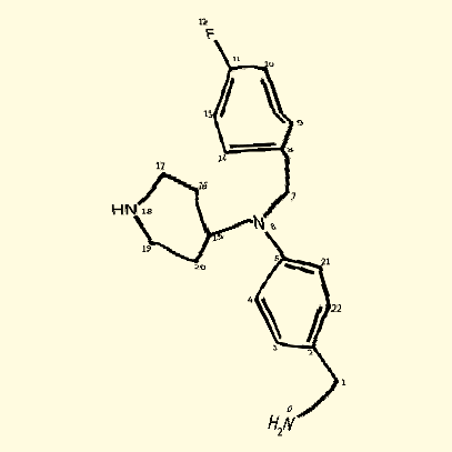 NCc1ccc(N(Cc2ccc(F)cc2)C2CCNCC2)cc1